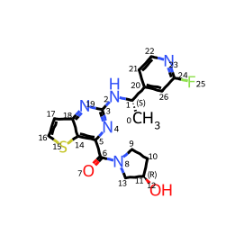 C[C@H](Nc1nc(C(=O)N2CC[C@@H](O)C2)c2sccc2n1)c1ccnc(F)c1